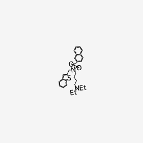 CCN(CC)CCCCN(Cc1cc2ccccc2s1)S(=O)(=O)c1ccc2ccccc2c1